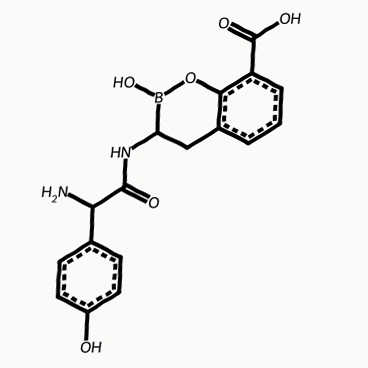 NC(C(=O)NC1Cc2cccc(C(=O)O)c2OB1O)c1ccc(O)cc1